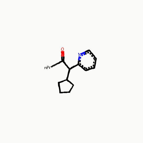 CCCC(=O)C(c1ccccn1)C1CCCC1